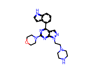 c1cc(-c2nc(N3CCOCC3)nc3c2cnn3CCN2CCNCC2)c2cc[nH]c2c1